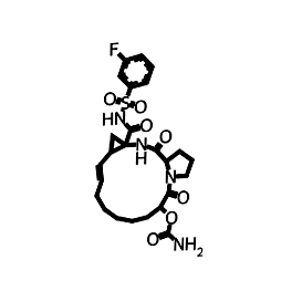 NC(=O)OC1CCCCC/C=C/C2CC2(C(=O)NS(=O)(=O)c2cccc(F)c2)NC(=O)C2CCCN2C1=O